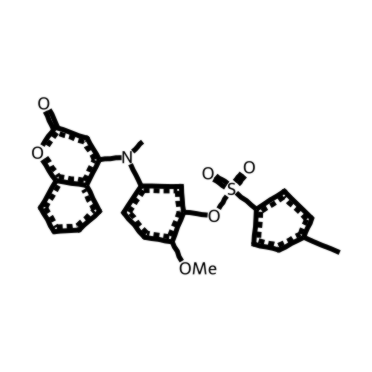 COc1ccc(N(C)c2cc(=O)oc3ccccc23)cc1OS(=O)(=O)c1ccc(C)cc1